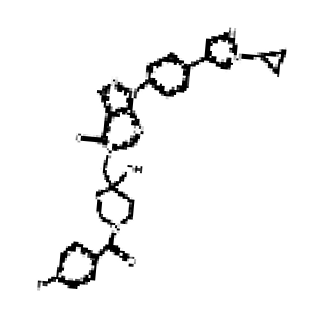 O=C(c1ccc(F)cc1)N1CCC(O)(Cn2cnc3c(cnn3-c3ccc(-c4cnn(C5CC5)c4)cc3)c2=O)CC1